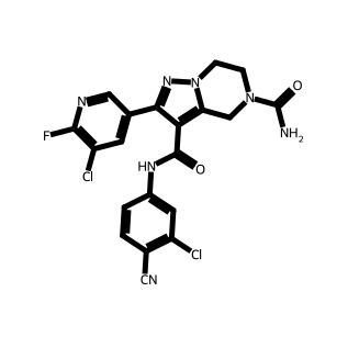 N#Cc1ccc(NC(=O)c2c(-c3cnc(F)c(Cl)c3)nn3c2CN(C(N)=O)CC3)cc1Cl